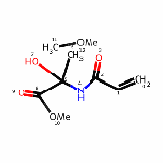 C=CC(=O)NC(C)(O)C(=O)OC.COC